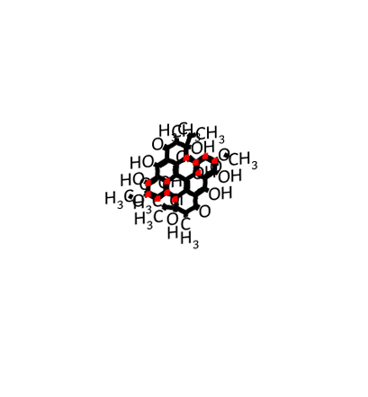 COC(=O)/C=C(\O)C1c2c(c(O)c3c(O)ccc(Cl)c3c2-c2c3c(c(O)c4c(O)ccc(Cl)c24)C(=O)C(C)C(O)(C(C)C)C3/C(O)=C/C(=O)OC)C(=O)C(C)C1(O)C(C)C